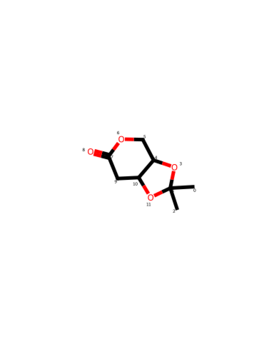 CC1(C)OC2COC(=O)CC2O1